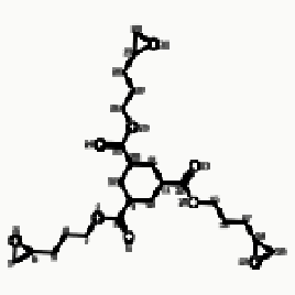 O=C(OCCCC1CO1)C1CC(C(=O)OCCCC2CO2)CC(C(=O)OCCCC2CO2)C1